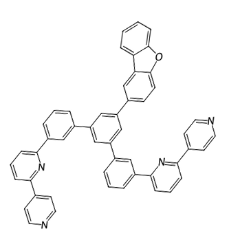 c1cc(-c2cc(-c3cccc(-c4cccc(-c5ccncc5)n4)c3)cc(-c3ccc4oc5ccccc5c4c3)c2)cc(-c2cccc(-c3ccncc3)n2)c1